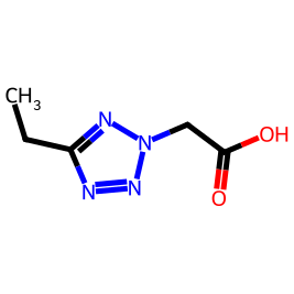 CCc1nnn(CC(=O)O)n1